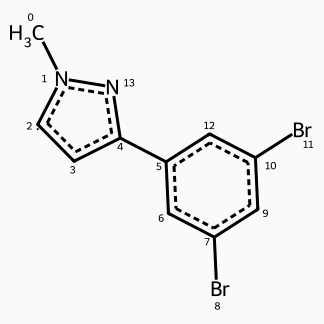 Cn1[c]cc(-c2cc(Br)cc(Br)c2)n1